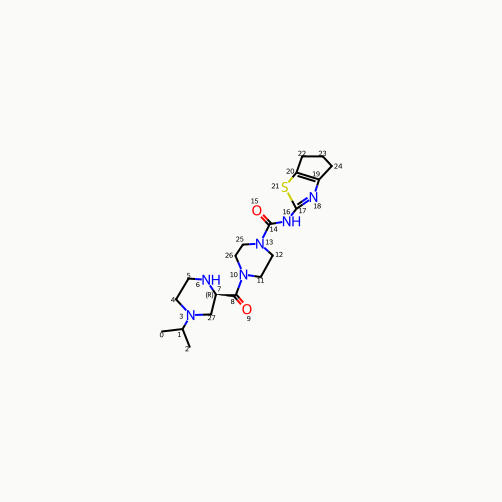 CC(C)N1CCN[C@@H](C(=O)N2CCN(C(=O)Nc3nc4c(s3)CCC4)CC2)C1